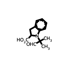 CC(C)(C=O)N1c2ccccc2CC1C(=O)O